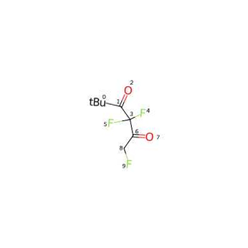 CC(C)(C)C(=O)C(F)(F)C(=O)CF